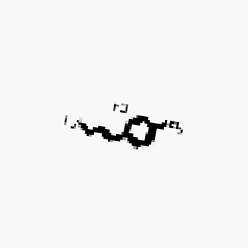 Cl.NCC=Cc1ccc([N+](=O)[O-])cc1